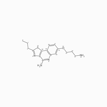 CCCc1nc2c(N)nc3cc(OCCCN)ccc3c2s1